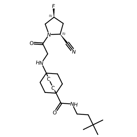 CC(C)(C)CCNC(=O)C12CCC(NCC(=O)N3C[C@@H](F)C[C@H]3C#N)(CC1)CC2